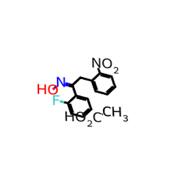 CC(=O)O.O=[N+]([O-])c1ccccc1C/C(=N/O)c1ccccc1F